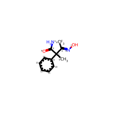 CC(C(N)=O)(C(=NO)C(F)(F)F)c1ccccc1